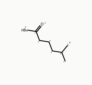 CCCCC(=O)CCCC(C)I